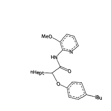 CCCCCCCC(Oc1ccc(C(C)CC)cc1)C(=O)Nc1ncccc1OC